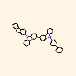 c1ccc(-c2ccc(-n3c4ccccc4c4cc(-c5ccc6c(c5)c5ccccc5n6-c5ccc6c(c5)Cc5ccccc5-6)ccc43)cc2)cc1